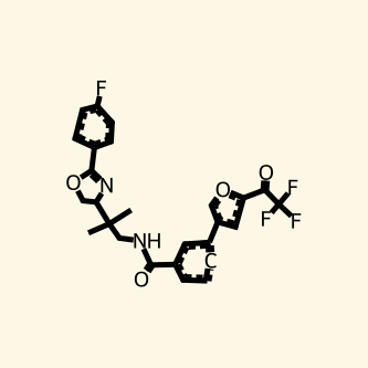 CC(C)(CNC(=O)c1cccc(-c2coc(C(=O)C(F)(F)F)c2)c1)C1COC(c2ccc(F)cc2)=N1